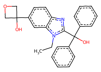 CCn1c(C(O)(c2ccccc2)c2ccccc2)nc2ccc(C3(O)COC3)cc21